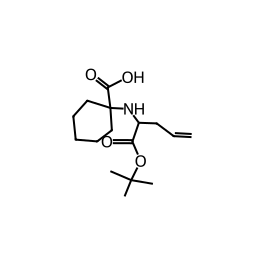 C=CCC(NC1(C(=O)O)CCCCC1)C(=O)OC(C)(C)C